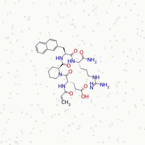 C=CC(=O)N[C@@H](CCC(=O)O)C(=O)N1CCCC[C@H]1C(=O)N[C@@H](Cc1ccc2ccccc2c1)C(=O)N[C@@H](CCCNC(=N)N)C(N)=O